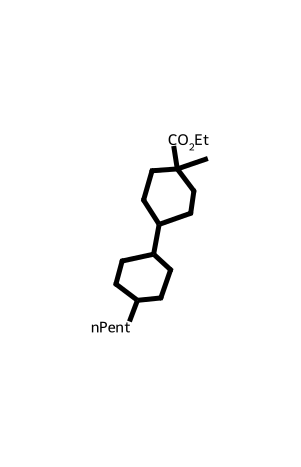 CCCCCC1CCC(C2CCC(C)(C(=O)OCC)CC2)CC1